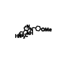 C=Nc1c(C2CCNCC2)ccnc1NCC1CCC(OC)CC1